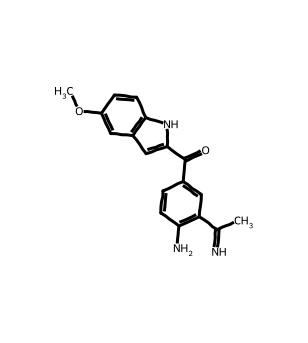 COc1ccc2[nH]c(C(=O)c3ccc(N)c(C(C)=N)c3)cc2c1